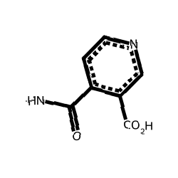 [NH]C(=O)c1ccncc1C(=O)O